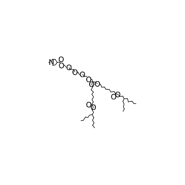 CCCCCC(CCCCC)CCOC(=O)CCCCCCCOCC(COCCOCCOCCOCCOC(=O)C1CCN(C)CC1)OCCCCCCCC(=O)OCCC(CCCCC)CCCCC